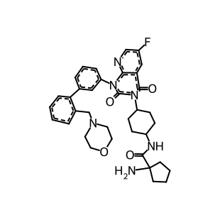 NC1(C(=O)NC2CCC(n3c(=O)c4cc(F)cnc4n(-c4cccc(-c5ccccc5CN5CCOCC5)c4)c3=O)CC2)CCCC1